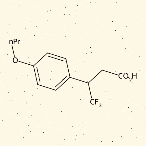 CCCOc1ccc(C(CC(=O)O)C(F)(F)F)cc1